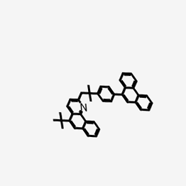 CC(C)(C)c1cc2ccccc2c2nc(CC(C)(C)c3ccc(-c4cc5ccccc5c5ccccc45)cc3)ccc12